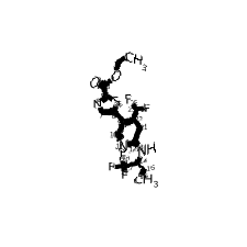 CCOC(=O)c1ncc(-c2cnc(N[C@@H](CC)C(F)(F)F)cc2C(F)F)s1